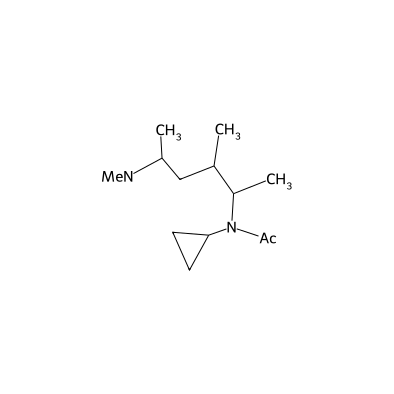 CNC(C)CC(C)C(C)N(C(C)=O)C1CC1